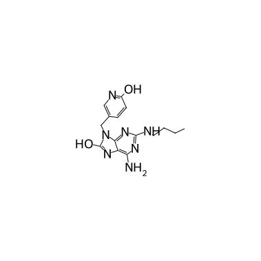 CCCCNc1nc(N)c2nc(O)n(Cc3ccc(O)nc3)c2n1